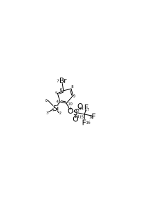 C[Si](C)(C)c1cc(Br)ccc1OS(=O)(=O)C(F)(F)F